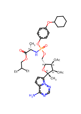 CCC(CC)COC(=O)[C@H](C)NP(=O)(OC[C@H]1O[C@@](C)(c2ccc3c(N)ncnn23)[C@H](OC(C)=O)[C@@H]1OC(C)=O)Oc1ccc(OC2CCCCC2)cc1